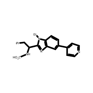 CCn1c(C(CC(C)C)NC(=O)O)nc2cc(-c3ccncc3)ccc21